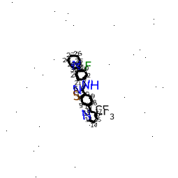 Fc1cc(Nc2nsc3cc(-c4ncccc4C(F)(F)F)ccc23)ccc1N1C2CCCC1CC2